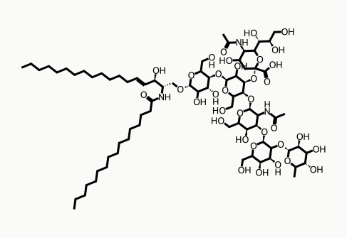 CCCCCCCCCCCCC/C=C/[C@@H](O)[C@H](CO[C@@H]1OC(CO)[C@@H](O[C@@H]2OC(CO)[C@H](O[C@@H]3OC(CO)[C@H](O)[C@H](O[C@@H]4OC(CO)[C@H](O)[C@H](O)C4O[C@H]4OC(C)[C@@H](O)C(O)[C@@H]4O)C3NC(C)=O)[C@H](O[C@]3(C(=O)O)CC(O)[C@@H](NC(C)=O)C([C@H](O)[C@H](O)CO)O3)C2O)[C@H](O)C1O)NC(=O)CCCCCCCCCCCCCCC